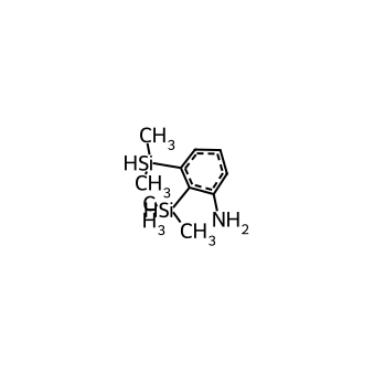 C[SiH](C)c1cccc(N)c1[SiH](C)C